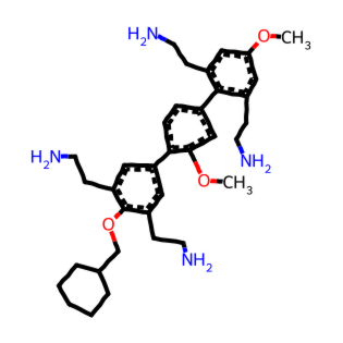 COc1cc(CCN)c(-c2ccc(-c3cc(CCN)c(OCC4CCCCC4)c(CCN)c3)c(OC)c2)c(CCN)c1